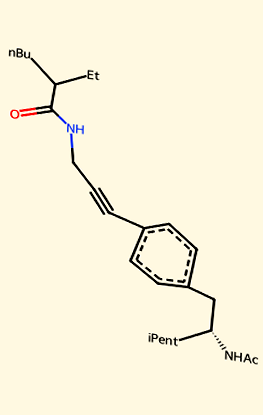 CCCCC(CC)C(=O)NCC#Cc1ccc(C[C@H](NC(C)=O)C(C)CCC)cc1